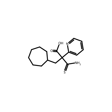 NC(=S)C(CC1CCCCCC1)(C(=O)O)c1ccccn1